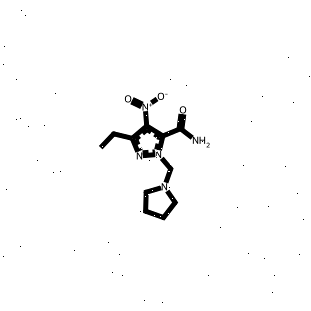 CCc1nn(CN2CCCC2)c(C(N)=O)c1[N+](=O)[O-]